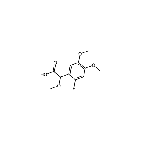 COc1cc(F)c(C(OC)C(=O)O)cc1OC